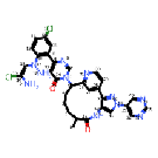 CC1CCCC(n2cnc(-c3cc(Cl)ccc3N(N)/C=C(\N)Cl)cc2=O)c2cc(ccn2)-c2nn(-c3cncnc3)cc2NC1=O